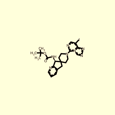 CC(C)(C)OC(=O)N[C@@H]1c2ncccc2CC12CCN(c1ncc(I)c3nncn13)CC2